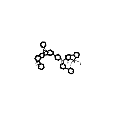 CC1(C)c2ccccc2-c2ccc(N(c3ccc(-c4ccc5c(c4)c4cc6c(ccc7sc8ccccc8c76)cc4n5-c4ccccc4)cc3)c3cccc(-c4ccccc4)c3)cc21